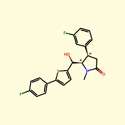 CN1C(=O)C[C@H](c2cccc(F)c2)[C@@H]1C(O)c1ccc(-c2ccc(F)cc2)s1